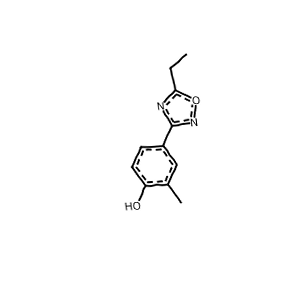 CCc1nc(-c2ccc(O)c(C)c2)no1